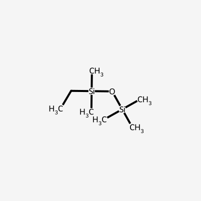 CC[Si](C)(C)O[Si](C)(C)C